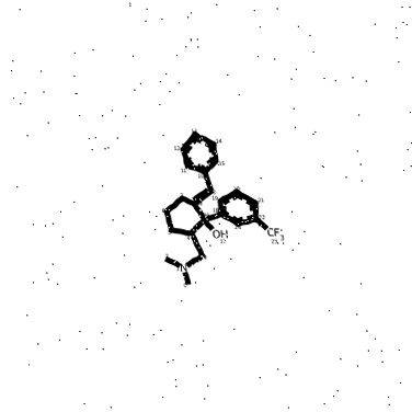 CN(C)CC1CCCC(=Cc2ccccc2)C1(O)c1cccc(C(F)(F)F)c1